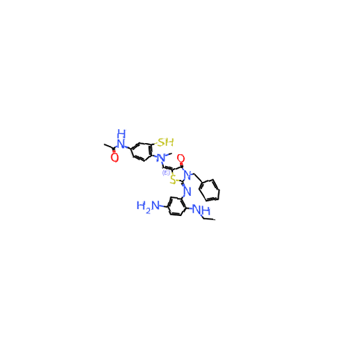 CCNc1ccc(N)cc1N=C1S/C(=C/N(C)c2ccc(NC(C)=O)cc2S)C(=O)N1Cc1ccccc1